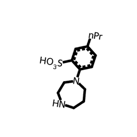 CCCc1ccc(N2CCCNCC2)c(S(=O)(=O)O)c1